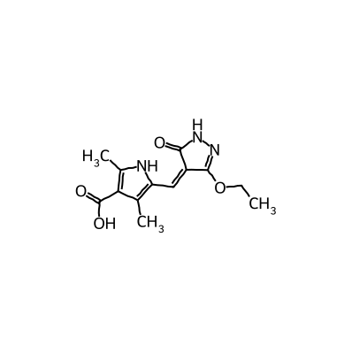 CCOC1=NNC(=O)C1=Cc1[nH]c(C)c(C(=O)O)c1C